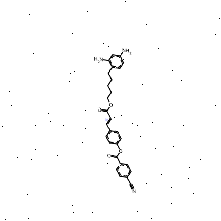 N#Cc1ccc(C(=O)Oc2ccc(/C=C/C(=O)OCCCCCc3ccc(N)cc3N)cc2)cc1